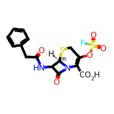 O=C(Cc1ccccc1)NC1C(=O)N2C(C(=O)O)=C(OS(=O)(=O)F)CS[C@H]12